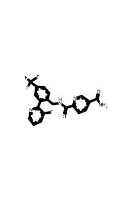 NC(=O)c1ccc(C(=O)NCc2ccc(C(F)(F)F)cc2-c2ncccc2F)nc1